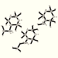 CN(C)C[SiH2]N1[Si](C)(C)O[Si](C)(C)O[Si]1(C)C.CN(C)[SiH2]N1[Si](C)(C)O[Si](C)(C)O[Si]1(C)C.C[SiH2]N1[Si](C)(C)O[Si](C)(C)O[Si]1(C)C